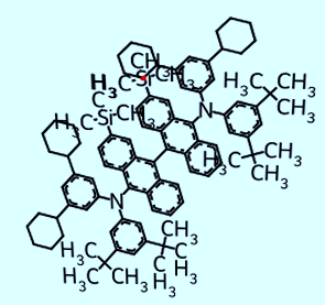 CC(C)(C)c1cc(N(c2cc(C3CCCCC3)cc(C3CCCCC3)c2)c2c3ccccc3c(-c3c4ccccc4c(N(c4cc(C5CCCCC5)cc(C5CCCCC5)c4)c4cc(C(C)(C)C)cc(C(C)(C)C)c4)c4cc([Si](C)(C)C)ccc34)c3cc([Si](C)(C)C)ccc23)cc(C(C)(C)C)c1